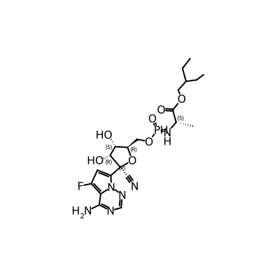 CCC(CC)COC(=O)[C@H](C)N[PH](=O)OC[C@H]1O[C@@](C#N)(c2cc(F)c3c(N)ncnn23)[C@H](O)[C@@H]1O